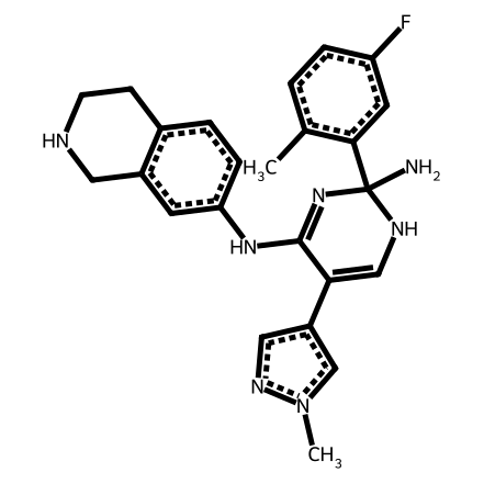 Cc1ccc(F)cc1C1(N)N=C(Nc2ccc3c(c2)CNCC3)C(c2cnn(C)c2)=CN1